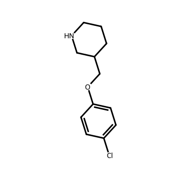 Clc1ccc(OCC2CCCNC2)cc1